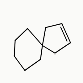 [CH]1C=CCC12CCCCC2